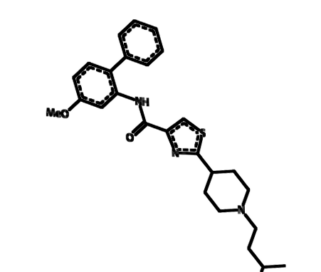 COc1ccc(-c2ccccc2)c(NC(=O)c2csc(C3CCN(CCC(C)SC)CC3)n2)c1